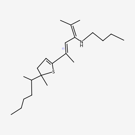 CCCCNC(/C=C(\C)C1=CCC(C)(C(C)CCCC)S1)=C(C)C